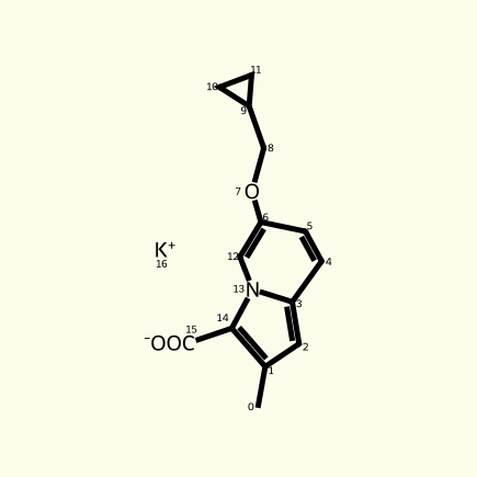 Cc1cc2ccc(OCC3CC3)cn2c1C(=O)[O-].[K+]